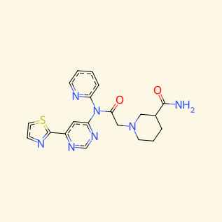 NC(=O)C1CCCN(CC(=O)N(c2ccccn2)c2cc(-c3nccs3)ncn2)C1